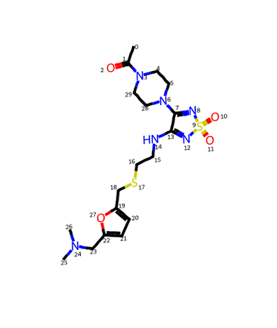 CC(=O)N1CCN(C2=NS(=O)(=O)N=C2NCCSCc2ccc(CN(C)C)o2)CC1